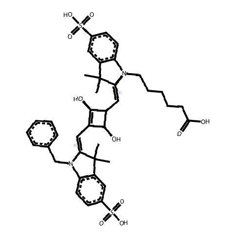 CC1(C)/C(=C\C2C(O)=C(/C=C3/N(Cc4ccccc4)c4ccc(S(=O)(=O)O)cc4C3(C)C)C2O)N(CCCCCC(=O)O)c2ccc(S(=O)(=O)O)cc21